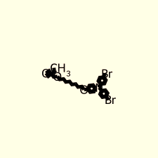 CCC1(COCCCCCCCCOc2ccc(N(c3ccc(Br)cc3)c3ccc(Br)cc3)cc2)COC1